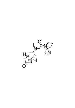 N#C[C@@H]1CCCN1C(=O)CN(I)C1C[C@H]2CC(=O)C[C@H]2C1